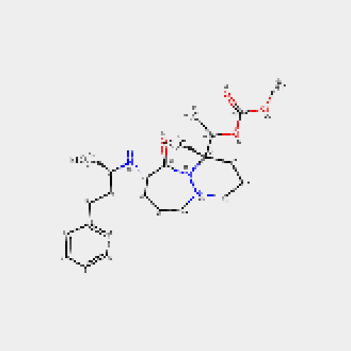 CCOC(=O)[C@H](CCc1ccccc1)N[C@H]1CCCN2CCC[C@@](C(=O)O)(C(C)OC(=O)OC(C)C)N2C1=O